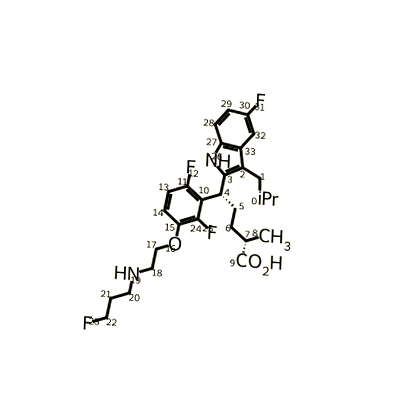 CC(C)Cc1c([C@H](CC[C@H](C)C(=O)O)c2c(F)ccc(OCCNCCCF)c2F)[nH]c2ccc(F)cc12